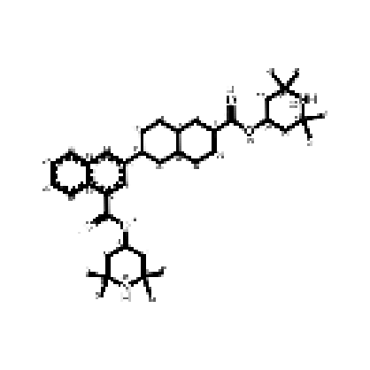 CC1(C)CC(OC(=O)c2cc(C3CCC4CC(C(=O)OC5CC(C)(C)NC(C)(C)C5)CCC4C3)cc3ccccc23)CC(C)(C)N1